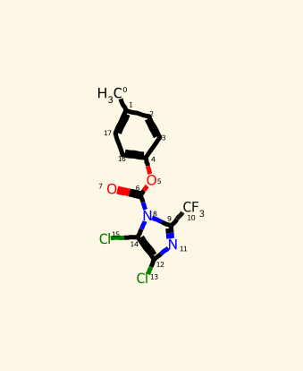 Cc1ccc(OC(=O)n2c(C(F)(F)F)nc(Cl)c2Cl)cc1